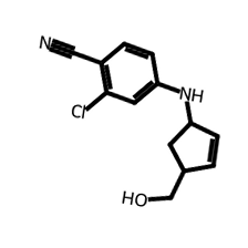 N#Cc1ccc(NC2C=CC(CO)C2)cc1Cl